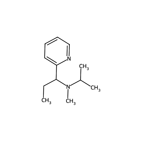 CCC(c1ccccn1)N(C)C(C)C